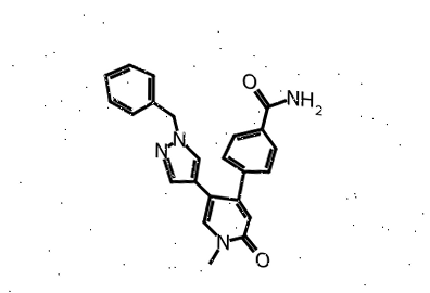 Cn1cc(-c2cnn(Cc3ccccc3)c2)c(-c2ccc(C(N)=O)cc2)cc1=O